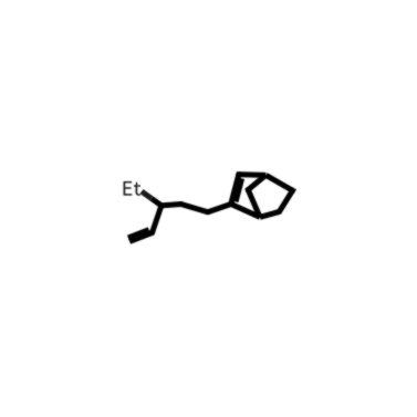 C=CC(CC)CCC1=CC2CCC1C2